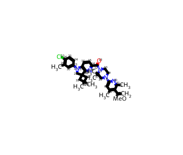 C=C(OC)c1c(C)cc(N2CCN(C(=O)c3ccc4c(n3)C3(CN4c4ccc(Cl)c(C)c4)CC(C)(C)C3)C(C)(C)C2)nc1C